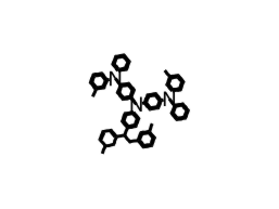 Cc1cccc(CC(C2=CC=CC(C)C2)c2ccc(N(c3ccc(N(c4ccccc4)c4cccc(C)c4)cc3)c3ccc(N(c4ccccc4)c4cccc(C)c4)cc3)cc2)c1